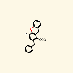 O=C([O-])c1c(Cc2ccccc2)ccc2c1Cc1ccccc1O2.[K+]